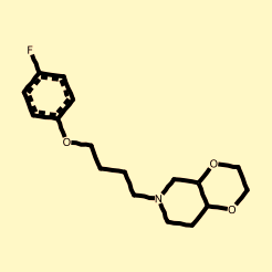 Fc1ccc(OCCCCN2CCC3OCCOC3C2)cc1